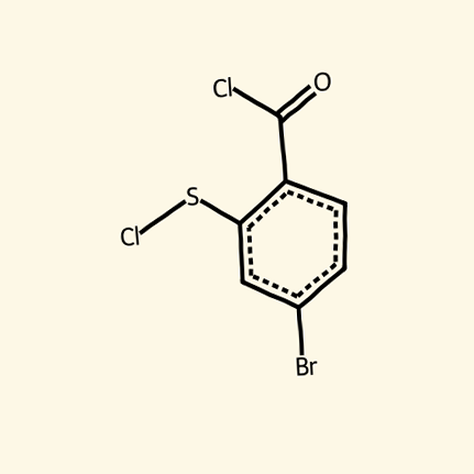 O=C(Cl)c1ccc(Br)cc1SCl